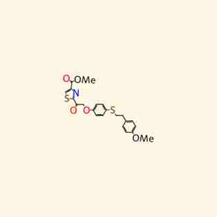 COC(=O)c1csc(C(=O)COc2ccc(SCCc3ccc(OC)cc3)cc2)n1